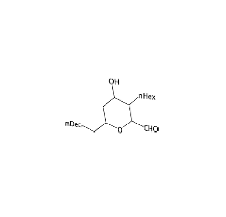 CCCCCCCCCCCC1CC(O)C(CCCCCC)C(C=O)O1